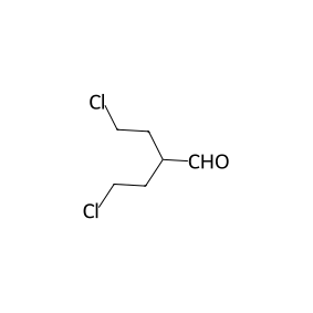 O=CC(CCCl)CCCl